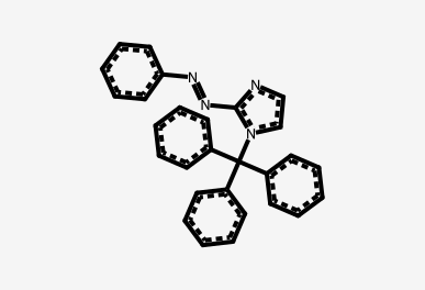 c1ccc(N=Nc2nccn2C(c2ccccc2)(c2ccccc2)c2ccccc2)cc1